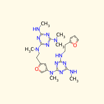 CNc1nc(N(C)C)nc(N(C)CCc2cc(N(C)c3nc(NC)nc(NCCc4ccco4)n3)co2)n1